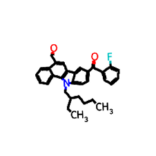 CCCCC(CC)Cn1c2ccc(C(=O)c3ccccc3F)cc2c2cc(C=O)c3ccccc3c21